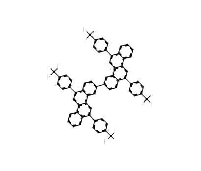 FC(F)(F)c1ccc(-c2cc3c4cc(-c5ccc6c(-c7ccc(C(F)(F)F)cc7)cc7c8ccccc8c(-c8ccc(C(F)(F)F)cc8)cc7c6c5)ccc4c(-c4ccc(C(F)(F)F)cc4)cc3c3ccccc23)cc1